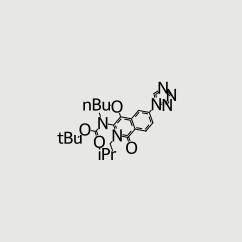 CCCCOc1c(N(C)C(=O)OC(C)(C)C)n(CC(C)C)c(=O)c2ccc(-n3cnnn3)cc12